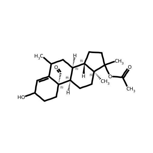 CC(=O)OC1(C)CC[C@H]2[C@@H]3CC(C)C4=CC(O)CC[C@]4(C=O)[C@@H]3CC[C@@]21C